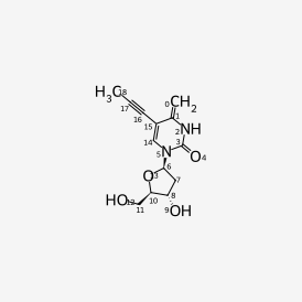 C=C1NC(=O)N([C@H]2C[C@H](O)[C@@H](CO)O2)C=C1C#CC